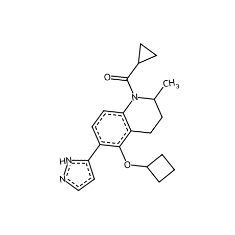 CC1CCc2c(ccc(-c3ccn[nH]3)c2OC2CCC2)N1C(=O)C1CC1